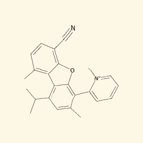 Cc1cc(C(C)C)c2c(oc3c(C#N)ccc(C)c32)c1-c1cccc[n+]1C